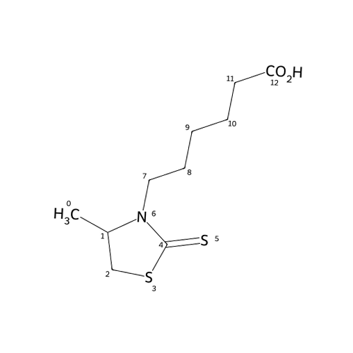 CC1CSC(=S)N1CCCCCC(=O)O